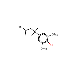 CCCCC(C)CC(C)(C)c1cc(OC)c(O)c(OC)c1